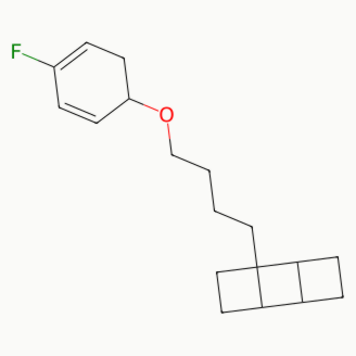 FC1=CCC(OCCCCC23CCC2C2CCC23)C=C1